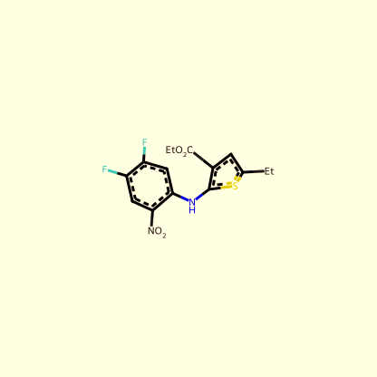 CCOC(=O)c1cc(CC)sc1Nc1cc(F)c(F)cc1[N+](=O)[O-]